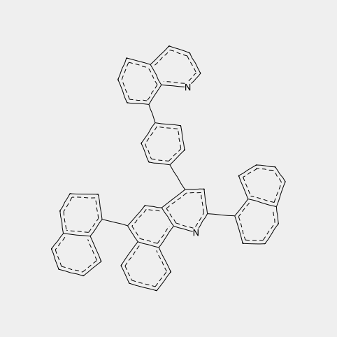 c1ccc2c(-c3cc(-c4ccc(-c5cccc6cccnc56)cc4)c4cc(-c5cccc6ccccc56)c5ccccc5c4n3)cccc2c1